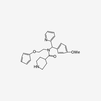 COc1ccc(C(c2ccccn2)N(CCOc2ccccc2)C(=O)C2CCNCC2)cc1